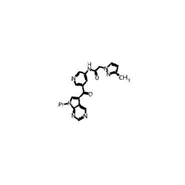 Cc1ccn(CC(=O)Nc2cncc(C(=O)c3cn(C(C)C)c4ncncc34)c2)n1